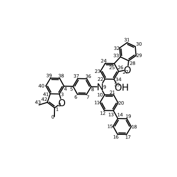 Cc1oc2c(-c3ccc(N(c4ccc(-c5ccccc5)cc4)c4ccc5c(oc6ccccc65)c4O)cc3)cccc2c1C